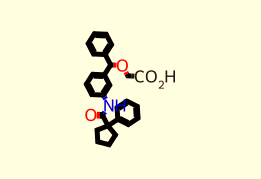 O=C(O)COC(c1ccccc1)c1cccc(NC(=O)C2(c3ccccc3)CCCC2)c1